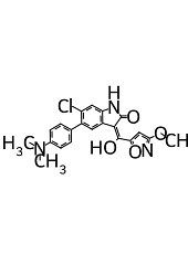 COc1cc(C(O)=C2C(=O)Nc3cc(Cl)c(-c4ccc(N(C)C)cc4)cc32)on1